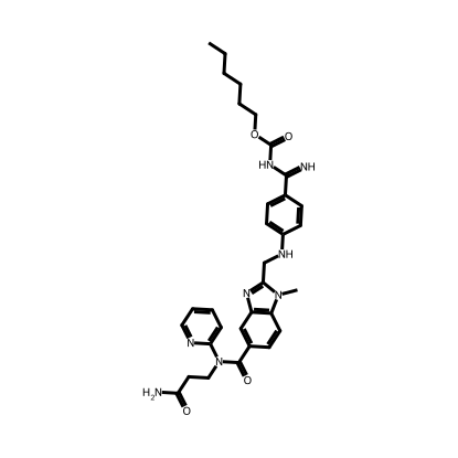 CCCCCCOC(=O)NC(=N)c1ccc(NCc2nc3cc(C(=O)N(CCC(N)=O)c4ccccn4)ccc3n2C)cc1